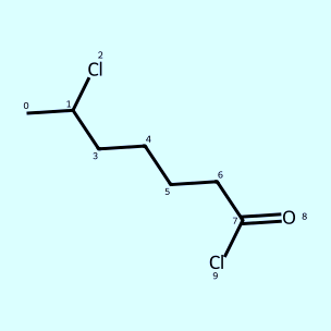 CC(Cl)CCCCC(=O)Cl